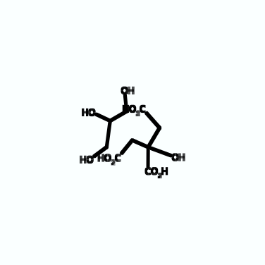 O=C(O)CC(O)(CC(=O)O)C(=O)O.OCC(O)CO